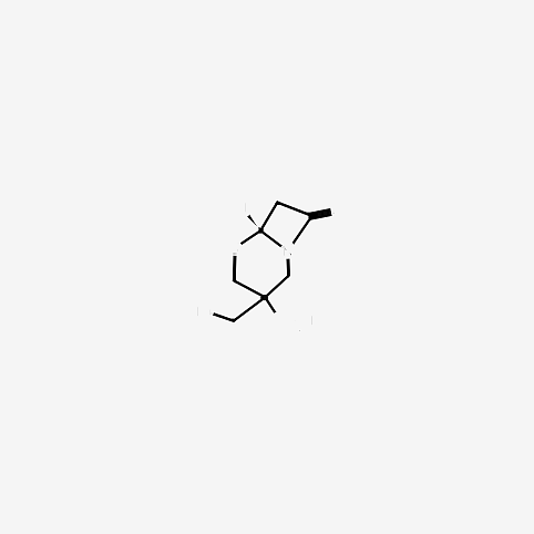 O=C1C[C@H]2SCC(CO)(C(=O)O)CN12